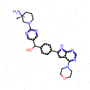 C[C@@]1(N)CCCN(c2ncc(C(O)c3ccc(-c4cc5c(N6CCOCC6)ncnc5[nH]4)cc3)cn2)C1